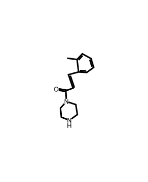 Cc1ccccc1/C=C/C(=O)N1CCNCC1